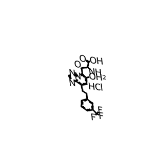 Cl.NC(C(=O)O)C(=O)c1c(O)cc(CCc2cccc(C(F)(F)F)c2)c2ncnn12